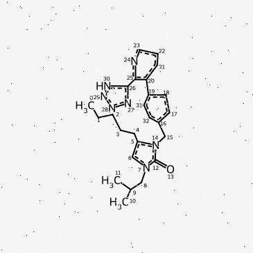 CCCCCc1cn(CC(C)C)c(=O)n1Cc1ccc(-c2cccnc2-c2nnn[nH]2)cc1